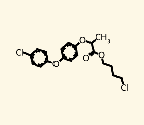 CC(Oc1ccc(Oc2ccc(Cl)cc2)cc1)C(=O)OCCCCCl